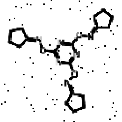 C1CCC(=NOc2nc(ON=C3CCCC3)nc(ON=C3CCCC3)n2)C1